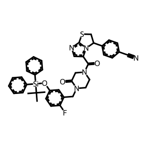 CC(C)(C)[Si](Oc1ccc(F)c(CN2CCN(C(=O)c3cnc4n3C(c3ccc(C#N)cc3)CS4)CC2=O)c1)(c1ccccc1)c1ccccc1